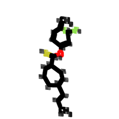 C=C(F)/C=C\C(=C/CF)OC(=S)C1CCCC(CCC)CC1